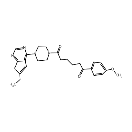 CCc1cc2c(N3CCN(C(=O)CCCCC(=O)c4ccc(OC)cc4)CC3)ncnc2s1